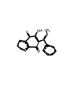 C/N=C(\C1=C(O)C(=O)c2cccnc2C1=O)c1ccccc1